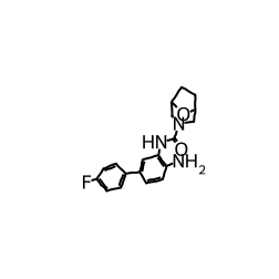 Nc1ccc(-c2ccc(F)cc2)cc1NC(=O)N1CC2CCC(C1)O2